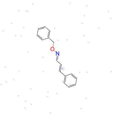 C(/C=C/c1ccccc1)=NOCc1ccccc1